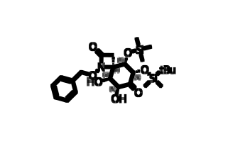 CC(C)(C)[Si](C)(C)O[C@@H]1C(=O)[C@@H](O)[C@@H](O)[C@]2(CC(=O)N2OCc2ccccc2)[C@@H]1O[Si](C)(C)C